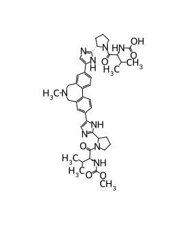 COC(=O)N[C@H](C(=O)N1CCCC1c1ncc(-c2ccc3c(c2)CN(C)Cc2cc(-c4cnc([C@@H]5CCCN5C(=O)[C@@H](NC(=O)O)C(C)C)[nH]4)ccc2-3)[nH]1)C(C)C